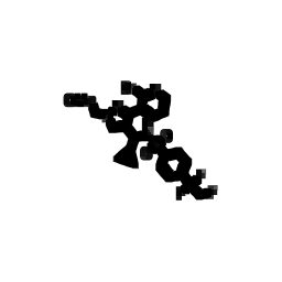 COCn1cc(C(NS(=O)(=O)c2ccc(C(F)(F)CF)cc2)C2CC2)c(-c2cccnc2Br)n1